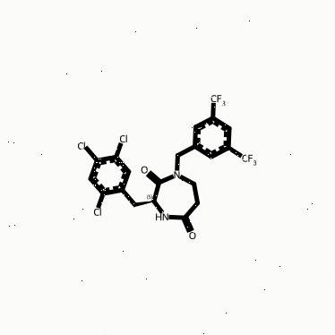 O=C1CCN(Cc2cc(C(F)(F)F)cc(C(F)(F)F)c2)C(=O)[C@H](Cc2cc(Cl)c(Cl)cc2Cl)N1